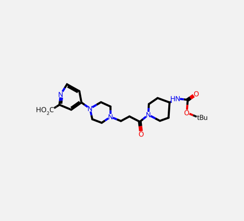 CC(C)(C)OC(=O)NC1CCN(C(=O)CCN2CCN(c3ccnc(C(=O)O)c3)CC2)CC1